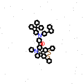 c1ccc(N2c3ccccc3[Si](c3ccc4c(c3)sc3ccccc34)(c3ccc4c(c3)sc3ccccc34)c3cc4oc5cc(N(c6ccc(-c7cccc8ccccc78)cc6)c6ccc7c(c6)C(c6ccccc6)(c6ccccc6)c6ccccc6-7)ccc5c4cc32)cc1